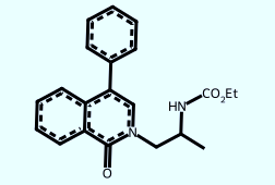 CCOC(=O)NC(C)Cn1cc(-c2ccccc2)c2ccccc2c1=O